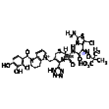 CC(C)(O/N=C(\C(=O)N[C@@H]1C(=O)N2C(c3nnn[nH]3)=C(C[n+]3cccc4c3CCCN4C(=O)c3ccc(O)c(O)c3Cl)CS[C@H]12)c1nc(N)sc1Cl)C(=O)O